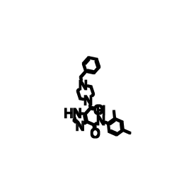 Cc1ccc(NC(=O)c2nc[nH]c2C(=O)N2CCN(Cc3ccccc3)CC2)c(C)c1